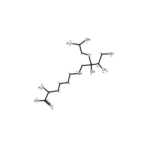 CC(O)COC(O)(CNCCCCC(N)C(=O)O)C(C)CO